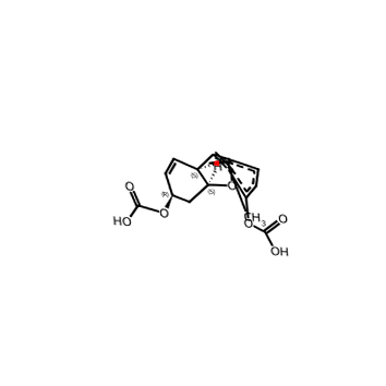 CN1CC[C@@]23C=C[C@H](OC(=O)O)C[C@@H]2Oc2c(OC(=O)O)ccc(c23)C1